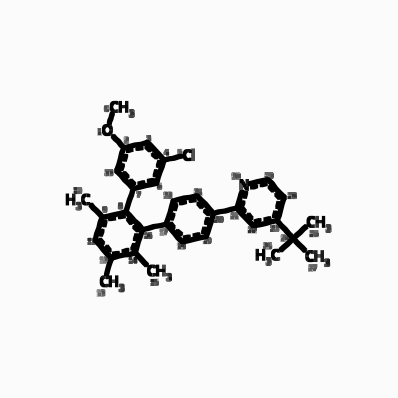 COc1cc(Cl)cc(-c2c(C)cc(C)c(C)c2-c2ccc(-c3cc(C(C)(C)C)ccn3)cc2)c1